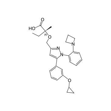 CC[C@@](C)(OCc1cc(-c2cccc(OC3CC3)c2)n(-c2ccccc2N2CCC2)n1)C(=O)O